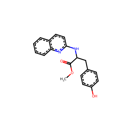 COC(=O)C(Cc1ccc(O)cc1)Nc1ccc2ccccc2n1